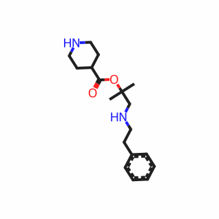 CC(C)(CNCCc1ccccc1)OC(=O)C1CCNCC1